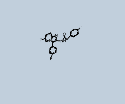 O=C(Cc1ccc(F)cc1)Nc1nc2ccc(F)cn2c1-c1ccc(F)cc1